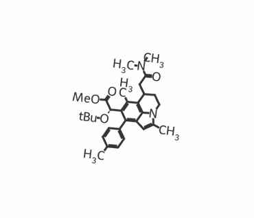 COC(=O)[C@@H](OC(C)(C)C)c1c(C)c2c3c(cc(C)n3CCC2CC(=O)N(C)C)c1-c1ccc(C)cc1